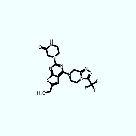 CCc1cc2c(N3CCn4c(nnc4C(F)(F)F)C3)nc(N3CCNC(=O)C3)nc2s1